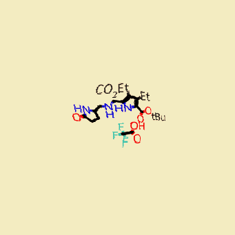 CCOC(=O)c1c(CNCC2CCC(=O)N2)[nH]c(C(=O)OC(C)(C)C)c1CC.O=C(O)C(F)(F)F